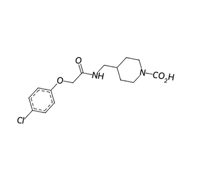 O=C(COc1ccc(Cl)cc1)NCC1CCN(C(=O)O)CC1